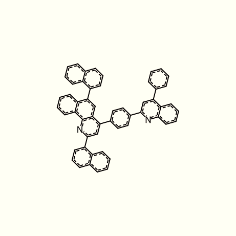 c1ccc(-c2cc(-c3ccc(-c4cc(-c5cccc6ccccc56)nc5c4cc(-c4cccc6ccccc46)c4ccccc45)cc3)nc3ccccc23)cc1